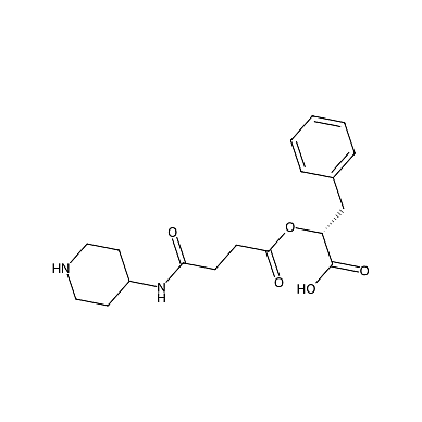 O=C(CCC(=O)O[C@H](Cc1ccccc1)C(=O)O)NC1CCNCC1